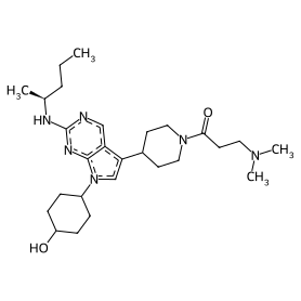 CCC[C@H](C)Nc1ncc2c(C3CCN(C(=O)CCN(C)C)CC3)cn(C3CCC(O)CC3)c2n1